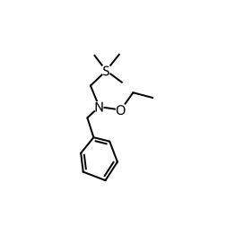 CCON(Cc1ccccc1)CS(C)(C)C